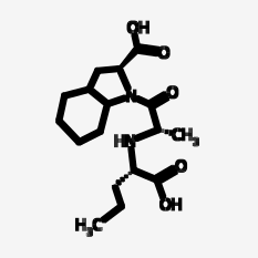 CCC[C@H](N[C@@H](C)C(=O)N1C2CCCCC2C[C@H]1C(=O)O)C(=O)O